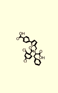 O=C(O)c1ccc(-c2ccc(CN(C(=O)c3ccc(Cl)cc3Cl)C(Cc3ccccc3)C(=O)O)s2)cc1